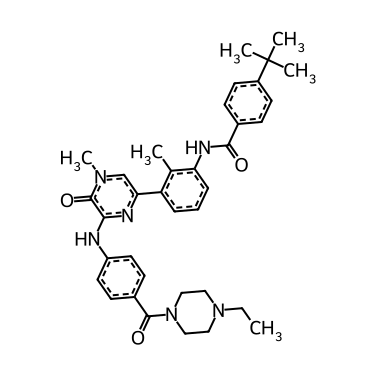 CCN1CCN(C(=O)c2ccc(Nc3nc(-c4cccc(NC(=O)c5ccc(C(C)(C)C)cc5)c4C)cn(C)c3=O)cc2)CC1